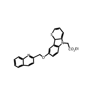 CCOC(=O)CN1C2=CC=CSC2c2cc(OCc3ccc4ccccc4n3)ccc21